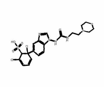 O=C(NCCN1CCOCC1)Nn1cnc2cc(C3(Cl)C=CC=C(Cl)C3S(=O)(=O)O)ccc21